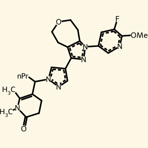 CCCC(C1=C(C)N(C)C(=O)CC1)n1cc(-c2nn(-c3cnc(OC)c(F)c3)c3c2CCOCC3)cn1